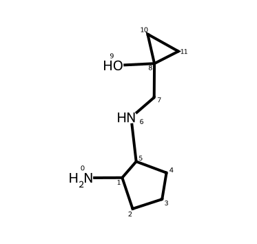 NC1CCCC1NCC1(O)CC1